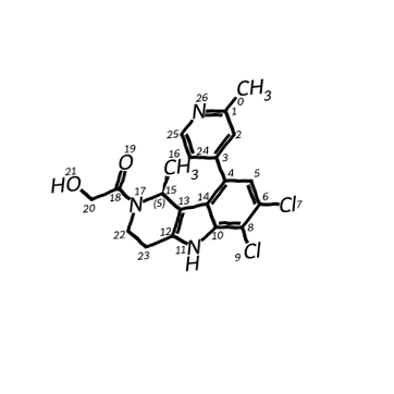 Cc1cc(-c2cc(Cl)c(Cl)c3[nH]c4c(c23)[C@H](C)N(C(=O)CO)CC4)ccn1